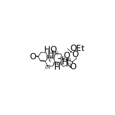 CCOC1(C)OCC(=O)[C@@]2(O1)[C@@H](C)C[C@H]1[C@@H]3C[C@H](C)C4=CC(=O)CC[C@]4(C)[C@H]3[C@@H](O)C[C@@]12C